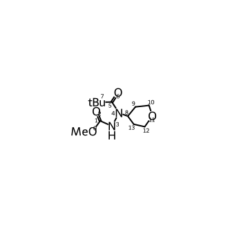 COC(=O)NN(C(=O)C(C)(C)C)C1CCOCC1